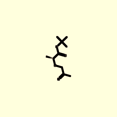 CC(=O)CO[C@H](C)C(=O)OC(C)(C)C